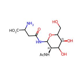 CC(=O)N[C@H]1C(NC(=O)CC(N)C(=O)O)OC(CO)[C@@H](O)C1O